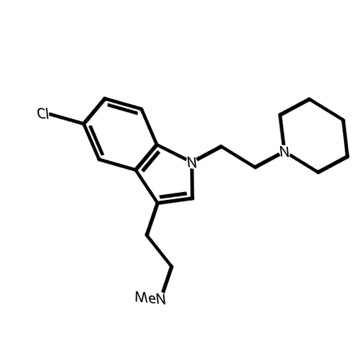 CNCCc1cn(CCN2CCCCC2)c2ccc(Cl)cc12